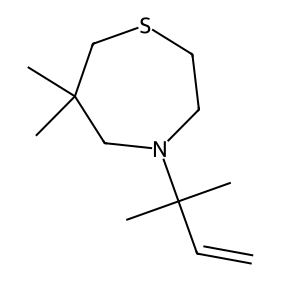 C=CC(C)(C)N1CCSCC(C)(C)C1